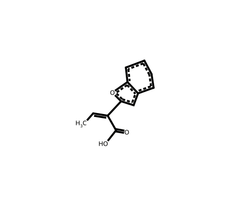 CC=C(C(=O)O)c1cc2ccccc2o1